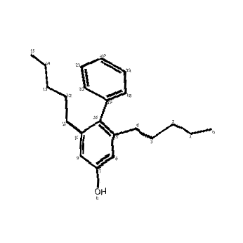 CCCCCc1cc(O)cc(CCCCC)c1-c1ccccc1